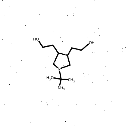 CC(C)(C)N1CC(CCO)C(CCO)C1